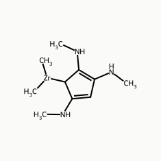 CNC1=CC(NC)=C(NC)[CH]1[Zr]([CH3])[CH3]